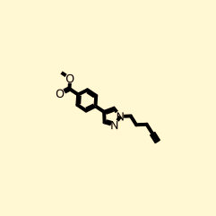 C#CCCCn1cc(-c2ccc(C(=O)OC)cc2)cn1